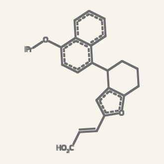 CC(C)Oc1ccc(C2CCCc3oc(C=CC(=O)O)cc32)c2ccccc12